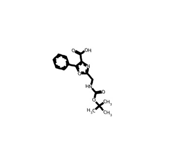 CC(C)(C)OC(=O)NCc1nc(C(=O)O)c(-c2ccccc2)o1